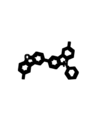 CC1=CC=C2C(C1)c1cc(-c3ccc4oc5ccc(C)cc5c4c3)ccc1N2C1C=CC=CC1